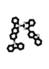 c1ccc2c(-c3ccc4c(c3)oc3ccccc34)nc(-n3c4ccccc4c4cc5ccc(-n6c7ccccc7c7ccccc76)cc5cc43)nc2c1